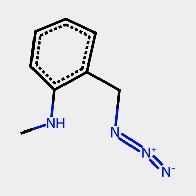 CNc1ccccc1CN=[N+]=[N-]